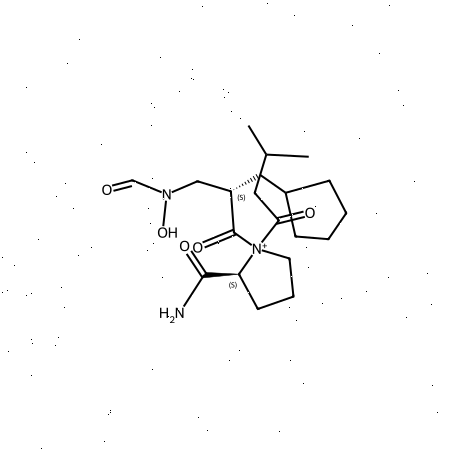 CC(C)CC(=O)[N+]1(C(=O)[C@@H](CC2CCCC2)CN(O)C=O)CCC[C@H]1C(N)=O